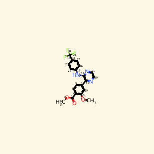 COC(=O)c1ccc(-c2nccnc2Nc2ccc(C(F)(F)F)cc2)cc1OC